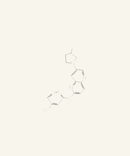 CC(C)c1cnnc(Nc2ccc3ncc(N4CCC(C(F)(F)F)C4)cc3n2)c1